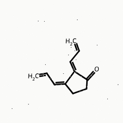 C=CC=C1CCC(=O)C1=CC=C